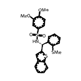 COc1ccc(S(=O)(=O)N[C@@H](c2cc3ccccc3s2)c2ccccc2SC)cc1OC